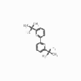 CC(C)(C)c1cccc(-c2cccc(C(C)(C)C)n2)n1